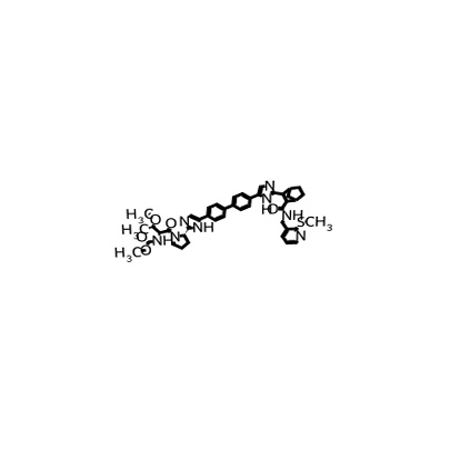 COC(=O)N[C@H](C(=O)N1CCC[C@H]1c1ncc(-c2ccc(-c3ccc(-c4cnc(C5C6CCC(C6)C5C(=O)NCc5cccnc5SC)[nH]4)cc3)cc2)[nH]1)[C@@H](C)OC